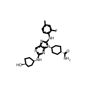 Cc1ccc(Nc2nc3cnc(N[C@H]4CC[C@H](O)CC4)nc3n2[C@H]2CC[C@@H](C(N)=O)CC2)c(F)c1